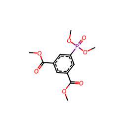 COC(=O)c1cc(C(=O)OC)cc(P(=O)(OC)OC)c1